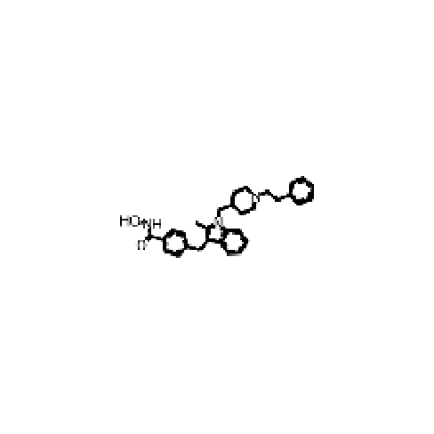 Cc1c(Cc2ccc(C(=O)NO)cc2)c2ccccc2n1CC1CCN(CCc2ccccc2)CC1